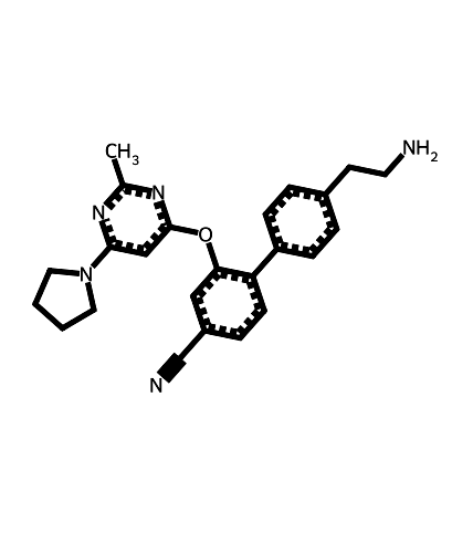 Cc1nc(Oc2cc(C#N)ccc2-c2ccc(CCN)cc2)cc(N2CCCC2)n1